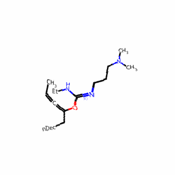 CC=C=C(CCCCCCCCCCC)O/C(=N/CCCN(C)C)NCC